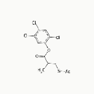 CC(=O)SCC(C)C(=O)Oc1cc(Cl)c(Cl)cc1Cl